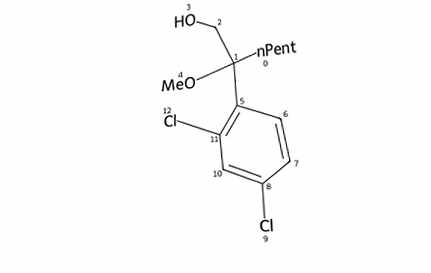 CCCCCC(CO)(OC)c1ccc(Cl)cc1Cl